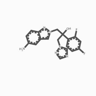 Nc1ccc2nn(CC(O)(Cn3cncn3)c3ccc(F)cc3F)cc2c1